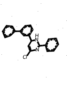 ClC1=CC(c2cccc(-c3ccccc3)c2)NC(c2ccccc2)=N1